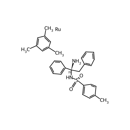 Cc1cc(C)cc(C)c1.Cc1ccc(S(=O)(=O)N[C@@](N)(Cc2ccccc2)c2ccccc2)cc1.[Ru]